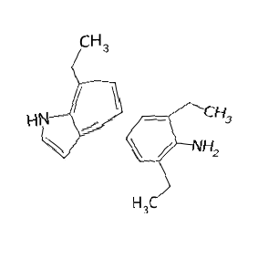 CCc1cccc(CC)c1N.CCc1cccc2cc[nH]c12